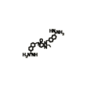 CCc1nc2ccn(Cc3ccc4ccc(C(=N)N)cc4c3)c(=O)c2n1Cc1ccc2ccc(C(=N)N)cc2c1